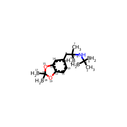 BC(B)(C)NC(B)(C)Cc1ccc2c(c1)OC(B)(B)O2